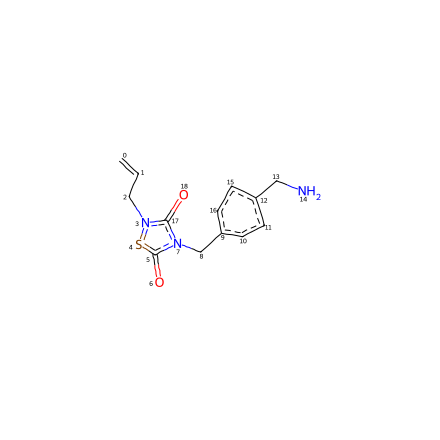 C=CCn1sc(=O)n(Cc2ccc(CN)cc2)c1=O